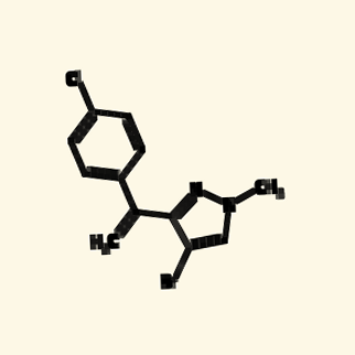 C=C(c1ccc(Cl)cc1)c1nn(C)cc1Br